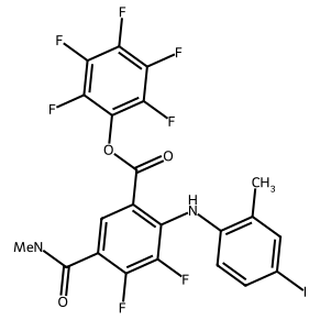 CNC(=O)c1cc(C(=O)Oc2c(F)c(F)c(F)c(F)c2F)c(Nc2ccc(I)cc2C)c(F)c1F